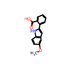 COc1ccc2[nH]c(-c3ccccc3C(=O)O)cc2c1